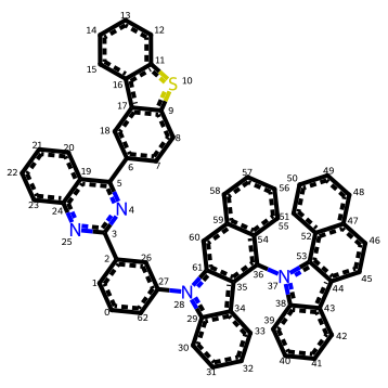 c1cc(-c2nc(-c3ccc4sc5ccccc5c4c3)c3ccccc3n2)cc(-n2c3ccccc3c3c(-n4c5ccccc5c5ccc6ccccc6c54)c4ccccc4cc32)c1